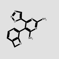 Nc1nc(N)c(-c2cccc3c2OC3)c(-c2cnno2)n1